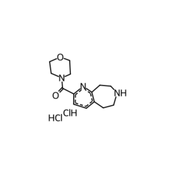 Cl.Cl.O=C(c1ccc2c(n1)CCNCC2)N1CCOCC1